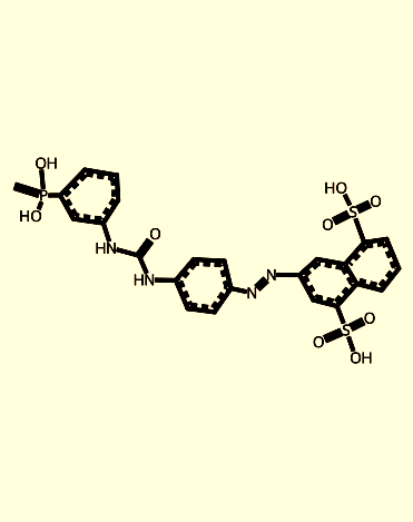 C=P(O)(O)c1cccc(NC(=O)Nc2ccc(/N=N/c3cc(S(=O)(=O)O)c4cccc(S(=O)(=O)O)c4c3)cc2)c1